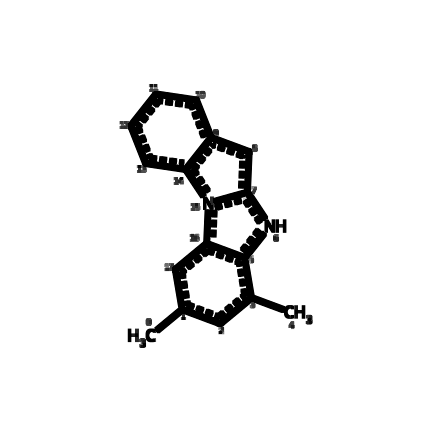 Cc1cc(C)c2[nH]c3cc4ccccc4n3c2c1